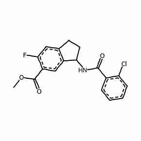 COC(=O)c1cc2c(cc1F)CCC2NC(=O)c1ccccc1Cl